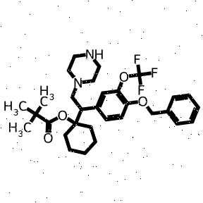 CC(C)(C)C(=O)OC1(C(CN2CCNCC2)c2ccc(OCc3ccccc3)c(OC(F)(F)F)c2)CCCCC1